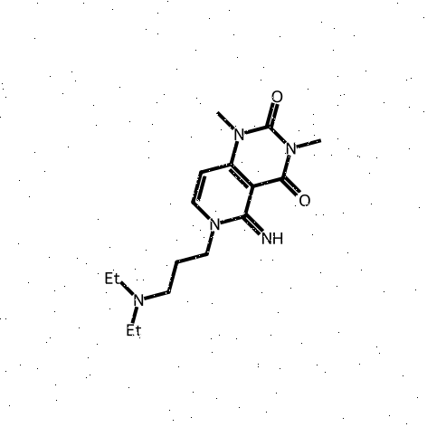 CCN(CC)CCCn1ccc2c(c1=N)c(=O)n(C)c(=O)n2C